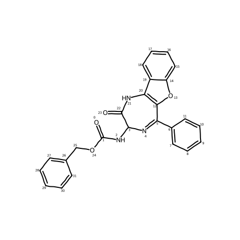 O=C(NC1N=C(c2ccccc2)c2oc3ccccc3c2NC1=O)OCc1ccccc1